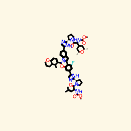 COC(=O)NC(C=C(C)C)C(=O)N1CCC[C@H]1c1ncc(-c2cc(F)c3c(c2)OC(C2=CC=C4OCCCC4C2C)n2c-3cc3cc(-c4cnc([C@@H]5CCCN5C(=O)C(NC(=O)OC)C5C[C@@H](C)O[C@@H](C)C5)[nH]4)ccc32)[nH]1